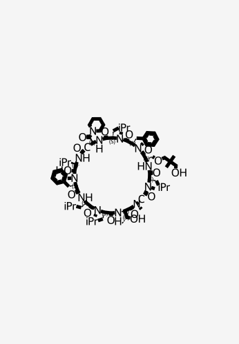 CC(C)C[C@@H]1NC(=O)[C@H](Cc2ccccc2)N(C)C(O)[C@@H](C(C)C)NC(=O)C[C@@H](C(=O)N2CCCCC2)NC(=O)[C@H](CC(C)C)N(C)C(=O)[C@H](Cc2ccccc2)N(C)C(=O)[C@H](COCC(C)(C)CO)NC(=O)[C@H](CC(C)C)N(C)C(=O)CN(C)C(=O)[C@H]([C@@H](C)O)NC(=O)[C@H](CC(C)C)N(C)C1=O